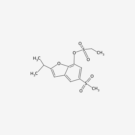 CCS(=O)(=O)Oc1cc(S(C)(=O)=O)cc2cc(C(C)C)oc12